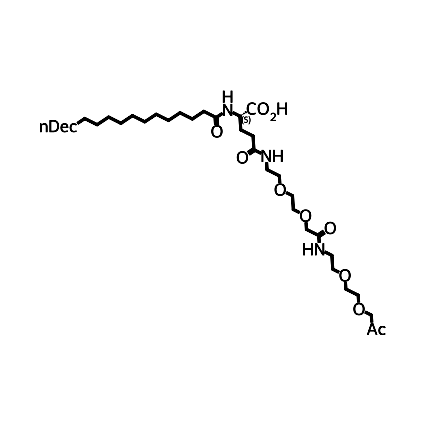 CCCCCCCCCCCCCCCCCCCCCC(=O)N[C@@H](CCC(=O)NCCOCCOCC(=O)NCCOCCOCC(C)=O)C(=O)O